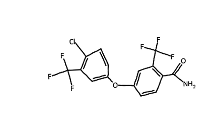 NC(=O)c1ccc(Oc2ccc(Cl)c(C(F)(F)F)c2)cc1C(F)(F)F